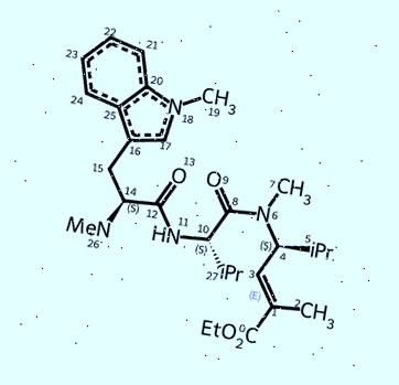 CCOC(=O)/C(C)=C/[C@H](C(C)C)N(C)C(=O)[C@@H](NC(=O)[C@H](Cc1cn(C)c2ccccc12)NC)C(C)C